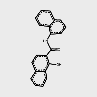 O=C(Nc1cccc2ccccc12)c1ccc2ccccc2c1O